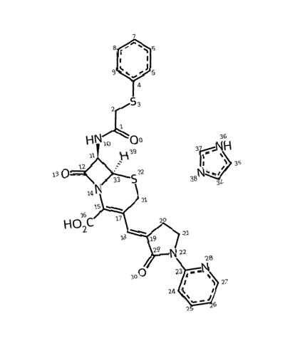 O=C(CSc1ccccc1)N[C@@H]1C(=O)N2C(C(=O)O)=C(/C=C3\CCN(c4ccccn4)C3=O)CS[C@H]12.c1c[nH]cn1